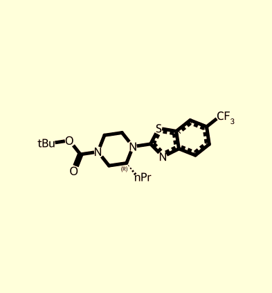 CCC[C@@H]1CN(C(=O)OC(C)(C)C)CCN1c1nc2ccc(C(F)(F)F)cc2s1